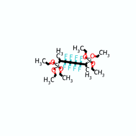 CCO[Si](OCC)(OCC)C(C)C(F)(F)C(F)(F)C(F)(F)C(F)(F)C(C)[Si](OCC)(OCC)OCC